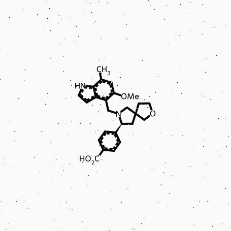 COc1cc(C)c2[nH]ccc2c1CN1CC2(CCOC2)C[C@H]1c1ccc(C(=O)O)cc1